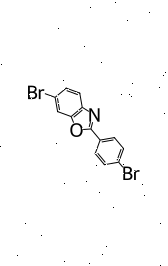 Brc1ccc(-c2nc3ccc(Br)cc3o2)cc1